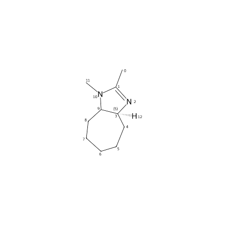 CC1=N[C@H]2CCCCCC2N1C